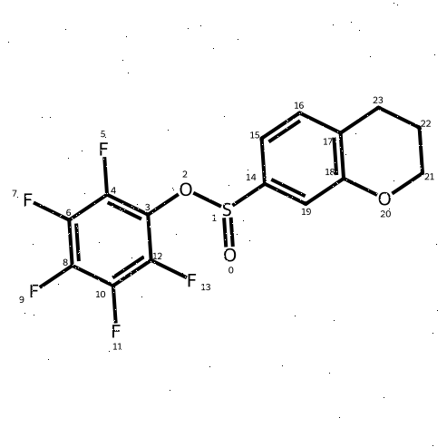 O=S(Oc1c(F)c(F)c(F)c(F)c1F)c1ccc2c(c1)OCCC2